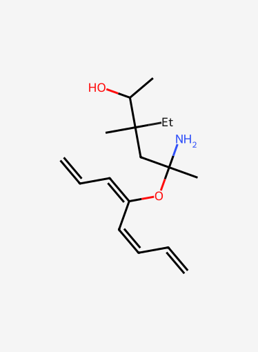 C=C/C=C\C(=C/C=C)OC(C)(N)CC(C)(CC)C(C)O